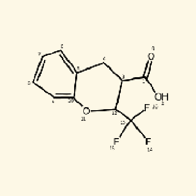 O=C(O)C1Cc2ccccc2OC1C(F)(F)F